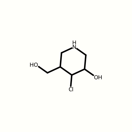 OCC1CNCC(O)C1Cl